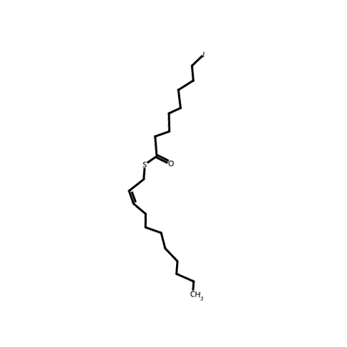 CCCCCCCC/C=C\CSC(=O)CCCCCCCI